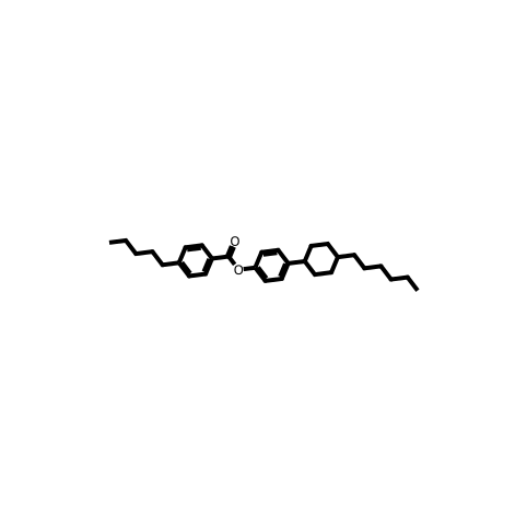 CCCCCCC1CCC(c2ccc(OC(=O)c3ccc(CCCCC)cc3)cc2)CC1